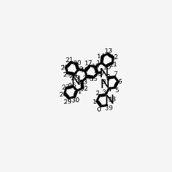 c1ccc(-c2cccc(-n3c4ccccc4c4cc5c6ccccc6n6c7ccccc7cc6c5cc43)n2)nc1